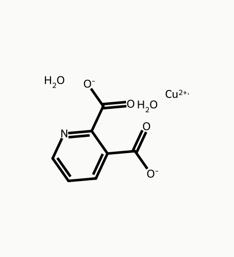 O.O.O=C([O-])c1cccnc1C(=O)[O-].[Cu+2]